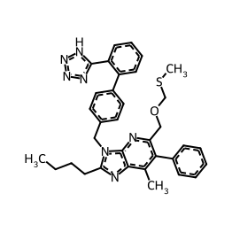 CCCCc1nc2c(C)c(-c3ccccc3)c(COCSC)nc2n1Cc1ccc(-c2ccccc2-c2nnn[nH]2)cc1